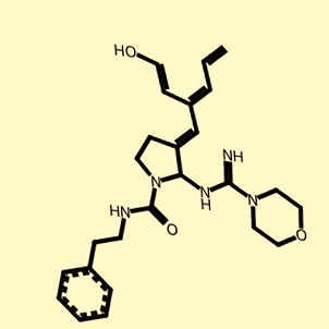 C=C/C=C(\C=C\O)/C=C1\CCN(C(=O)NCCc2ccccc2)C1NC(=N)N1CCOCC1